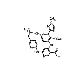 CCC(=O)c1cnc(Nc2ccc(CN(C)C)cn2)cc1Nc1cccc(-c2ncn(C)n2)c1OC